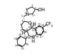 O[C@@H]1CCN(C[C@H]2CC[C@@H]3[C@H](O2)c2cc(C(F)(F)F)ccc2N[C@H]3C2C=CC=CC2)C1